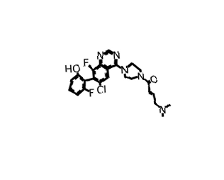 CN(C)CC=CC(=O)N1CCN(c2ncnc3c(F)c(-c4c(O)cccc4F)c(Cl)cc23)CC1